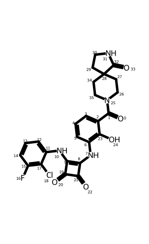 O=C(c1cccc(Nc2c(Nc3cccc(F)c3Cl)c(=O)c2=O)c1O)N1CCC2(CCNC2=O)CC1